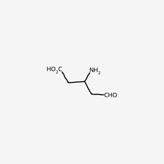 NC(CC=O)CC(=O)O